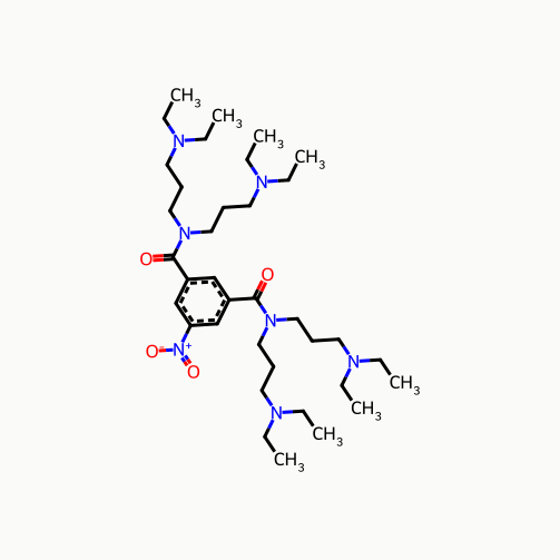 CCN(CC)CCCN(CCCN(CC)CC)C(=O)c1cc(C(=O)N(CCCN(CC)CC)CCCN(CC)CC)cc([N+](=O)[O-])c1